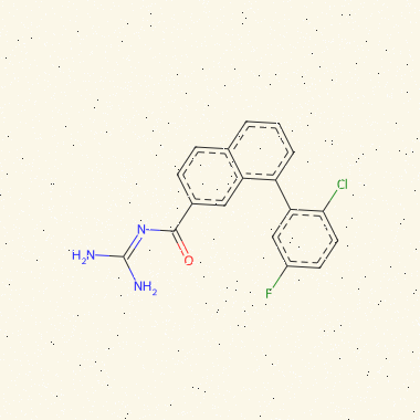 NC(N)=NC(=O)c1ccc2cccc(-c3cc(F)ccc3Cl)c2c1